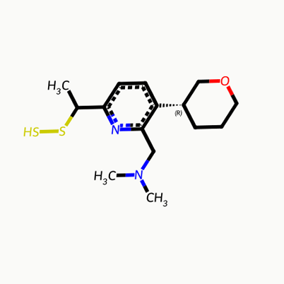 CC(SS)c1ccc([C@H]2CCCOC2)c(CN(C)C)n1